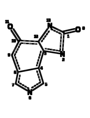 O=c1nc2c3cncc-3cc(=O)c-2n1